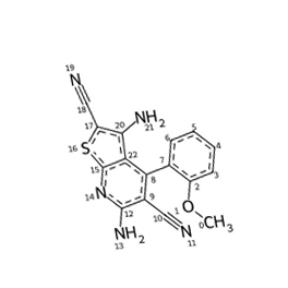 COc1ccccc1-c1c(C#N)c(N)nc2sc(C#N)c(N)c12